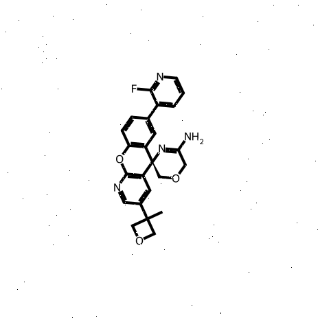 CC1(c2cnc3c(c2)[C@]2(COCC(N)=N2)c2cc(-c4cccnc4F)ccc2O3)COC1